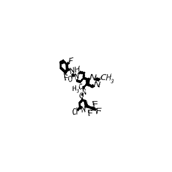 C/C(=N\Oc1cc(Cl)nc(C(F)(F)F)c1)c1cnc(C)nc1C1CCN(C(=O)Nc2c(F)cccc2F)CC1